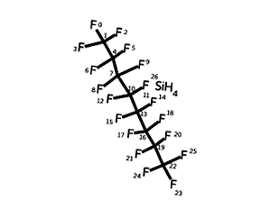 FC(F)(F)C(F)(F)C(F)(F)C(F)(F)C(F)(F)C(F)(F)C(F)(F)C(F)(F)F.[SiH4]